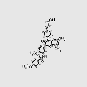 COc1ccc(S(=O)(=O)Nc2cc(-c3cc4c(C)nc(N)nc4n(C4CCC(OCCO)CC4)c3=O)cnc2OC)cc1